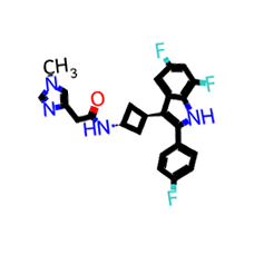 Cn1cnc(CC(=O)N[C@H]2C[C@H](c3c(-c4ccc(F)cc4)[nH]c4c(F)cc(F)cc43)C2)c1